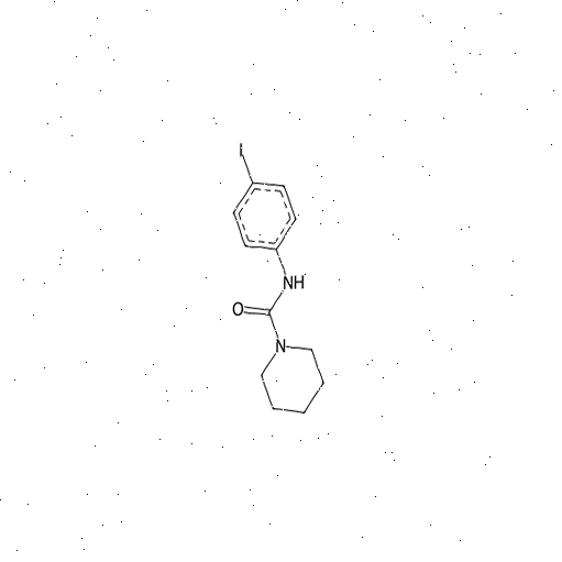 O=C(Nc1ccc(I)cc1)N1CCCCC1